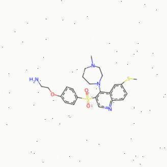 CSc1ccc2ncc(S(=O)(=O)c3ccc(OCCN)cc3)c(N3CCCN(C)CC3)c2c1